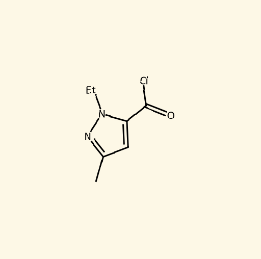 CCn1nc(C)cc1C(=O)Cl